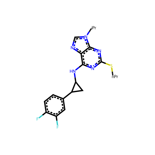 CCCSc1nc(NC2CC2c2ccc(F)c(F)c2)c2ncn(C(C)C)c2n1